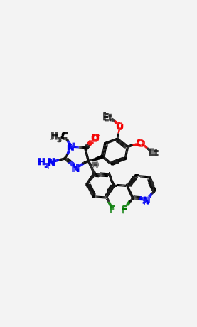 CCOc1ccc([C@@]2(c3ccc(F)c(-c4cccnc4F)c3)N=C(N)N(C)C2=O)cc1OCC